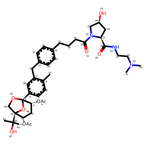 CC(=O)O[C@H]1[CH][C@@H](OC(C)=O)[C@@]2(c3ccc(C)c(Cc4ccc(CCCC(=O)N5C[C@@H](O)C[C@H]5C(=O)NCCN(C)C)cc4)c3)OC[C@]1(C(C)(C)O)O2